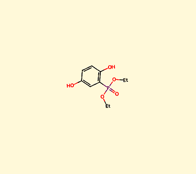 CCOP(=O)(OCC)c1cc(O)ccc1O